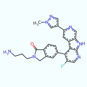 Cn1cc(-c2cc3c(cn2)[nH]c2ncc(F)c(-c4ccc5c(c4)CN(CCCN)C5=O)c23)cn1